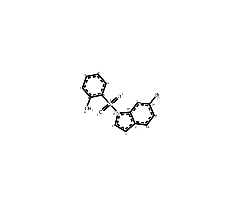 Cc1ccccc1S(=O)(=O)n1ccc2ccc(Br)cc21